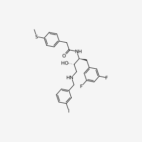 CSc1ccc(CC(=O)N[C@@H](Cc2cc(F)cc(F)c2)[C@@H](O)CNCc2cccc(I)c2)cc1